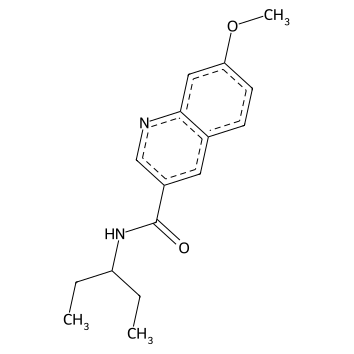 CCC(CC)NC(=O)c1cnc2cc(OC)ccc2c1